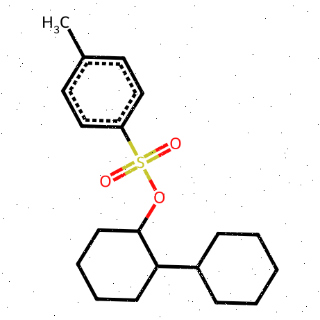 Cc1ccc(S(=O)(=O)OC2CCCCC2C2CCCCC2)cc1